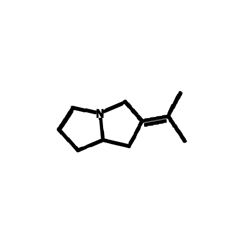 CC(C)=C1CC2CCCN2C1